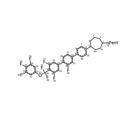 CCCCCC1CCCC(c2ccc(-c3ccc(-c4cc(F)c(C(F)(F)Oc5cc(F)c(F)c(F)c5)c(F)c4)c(F)c3)cc2)CC1